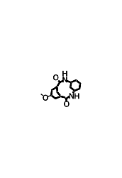 COc1cc2cc(c1)c(=O)[nH]c1cccc(c1)[nH]c2=O